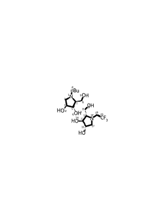 CCCCN1C[C@H](O)[C@@H](O)[C@@H]1CO.OC[C@H]1[C@H](O)[C@@H](O)CN1CC(F)(F)F